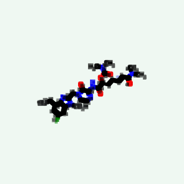 CN(C)C(=O)/C=C/CC[C@H](OC(=O)N(C)C)C(=O)Nc1nccn(Cc2nc3c(CC(C)(C)C)cc(F)cc3n2C(=O)O)c1=O